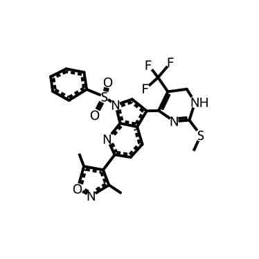 CSC1=NC(c2cn(S(=O)(=O)c3ccccc3)c3nc(-c4c(C)noc4C)ccc23)=C(C(F)(F)F)CN1